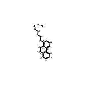 [CH2]CCCCCCCCCCCCCCc1cccc2c1ccc1ccccc12